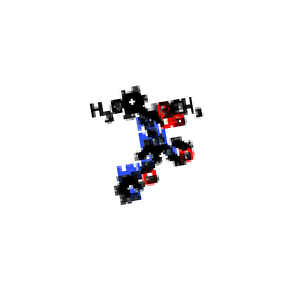 Cc1cccc(-c2cc(OS(C)(=O)=O)n(-c3nc4c(c(N5CCOCC5)n3)CN(C(=O)Nc3cccnc3)C4)n2)c1